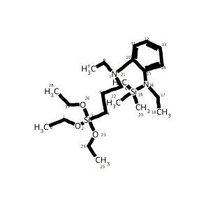 CCO[Si](CCCN(CC)c1ccccc1N(CC)[Si](C)(C)C)(OCC)OCC